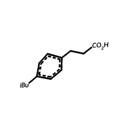 CCC(C)c1ccc(CCC(=O)O)cc1